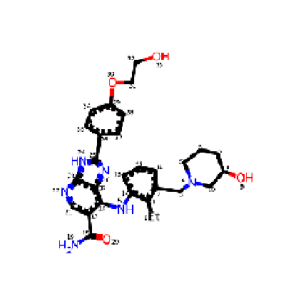 CCc1c(CN2CCCC(O)C2)cccc1Nc1c(C(N)=O)cnc2[nH]c(-c3ccc(OCCO)cc3)nc12